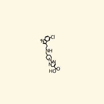 Cn1cc(CCNCC2CCN(c3ncc(C(=O)O)cn3)CC2)c2cc(Cl)ccc21